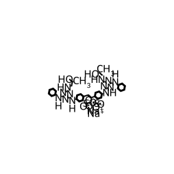 CC(O)CNc1nc(Nc2ccccc2)nc(Nc2ccc(C=Cc3ccc(Nc4nc(NCC(C)O)nc(Nc5ccccc5)n4)cc3S(=O)(=O)[O-])c(S(=O)(=O)[O-])c2)n1.[Na+].[Na+]